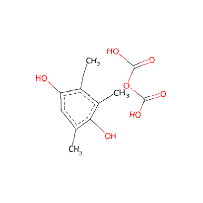 Cc1cc(O)c(C)c(C)c1O.O=C(O)OC(=O)O